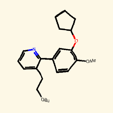 COc1ccc(-c2ncccc2CCOCC(C)C)cc1OC1CCCC1